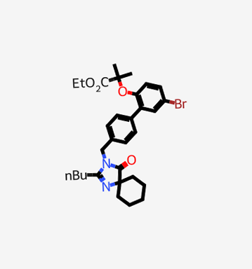 CCCCC1=NC2(CCCCC2)C(=O)N1Cc1ccc(-c2cc(Br)ccc2OC(C)(C)C(=O)OCC)cc1